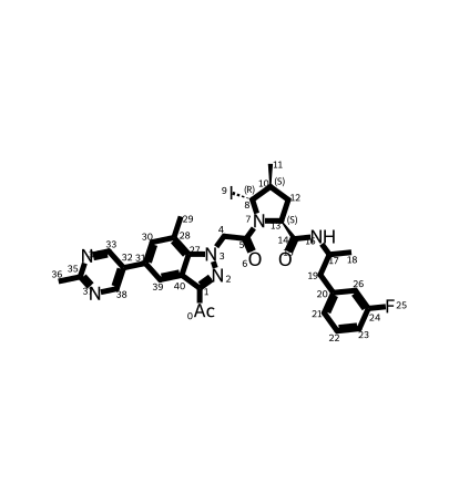 CC(=O)c1nn(CC(=O)N2[C@H](I)[C@@H](C)C[C@H]2C(=O)NC(C)Cc2cccc(F)c2)c2c(C)cc(-c3cnc(C)nc3)cc12